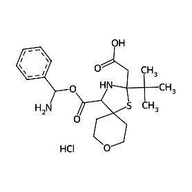 CC(C)(C)C1(CC(=O)O)NC(C(=O)OC(N)c2ccccc2)C2(CCOCC2)S1.Cl